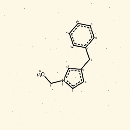 OCn1ccc(Cc2ccccc2)c1